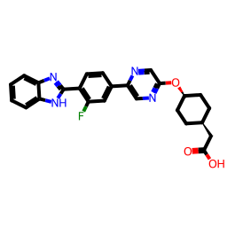 O=C(O)C[C@H]1CC[C@@H](Oc2cnc(-c3ccc(-c4nc5ccccc5[nH]4)c(F)c3)cn2)CC1